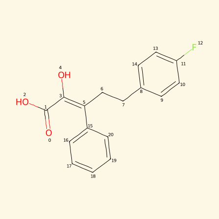 O=C(O)/C(O)=C(/CCc1ccc(F)cc1)c1ccccc1